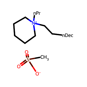 CCCCCCCCCCCC[N+]1(CCC)CCCCC1.CS(=O)(=O)[O-]